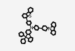 c1ccc(C2(c3ccccc3)c3ccccc3-c3cc(N(c4ccc(-c5ccc(-n6c7ccccc7c7ccccc76)cc5)cc4)c4ccc(-c5cccc6c5sc5ccccc56)cc4)ccc32)cc1